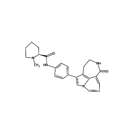 CN1CCCC[C@H]1C(=O)Nc1ccc(-c2cn3cccc4c3c2CCNC4=O)cc1